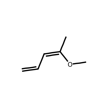 C=C/C=C(/C)OC